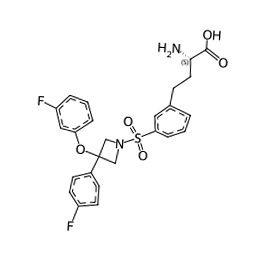 N[C@@H](CCc1cccc(S(=O)(=O)N2CC(Oc3cccc(F)c3)(c3ccc(F)cc3)C2)c1)C(=O)O